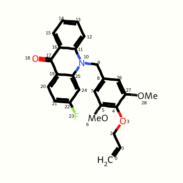 C=CCOc1c(OC)cc(Cn2c3ccccc3c(=O)c3ccc(F)cc32)cc1OC